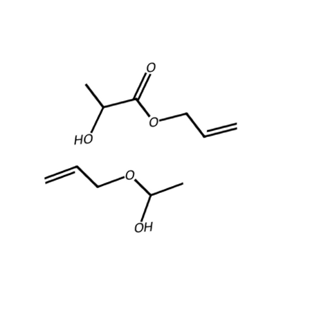 C=CCOC(=O)C(C)O.C=CCOC(C)O